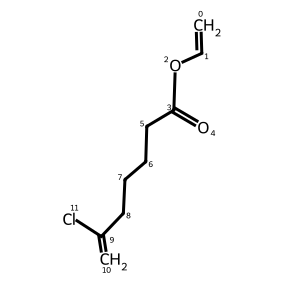 C=COC(=O)CCCCC(=C)Cl